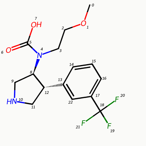 COCCN(C(=O)O)[C@@H]1CNC[C@H]1c1cccc(C(F)(F)F)c1